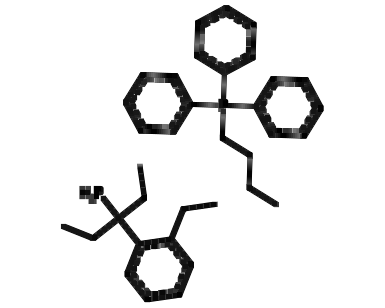 CCCC[P](c1ccccc1)(c1ccccc1)c1ccccc1.CCc1ccccc1C(P)(CC)CC